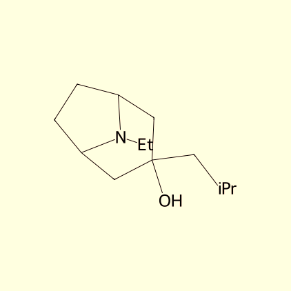 CCN1C2CCC1CC(O)(CC(C)C)C2